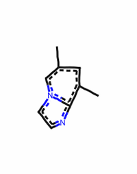 Cc1cc(C)c2nccn2c1